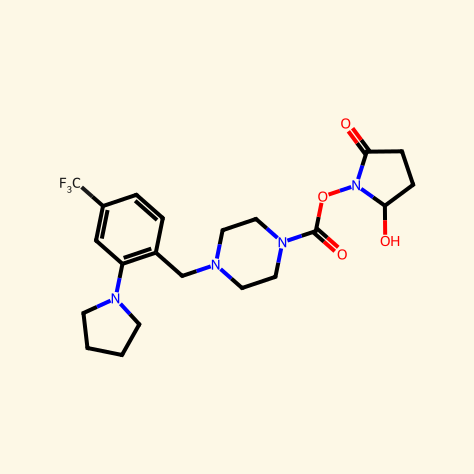 O=C(ON1C(=O)CCC1O)N1CCN(Cc2ccc(C(F)(F)F)cc2N2CCCC2)CC1